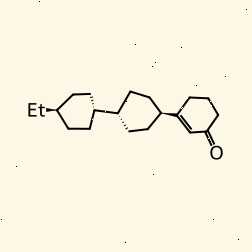 CC[C@H]1CC[C@H]([C@H]2CC[C@H](C3=CC(=O)CCC3)CC2)CC1